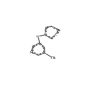 N#Cc1cncc(Oc2ccccc2)c1